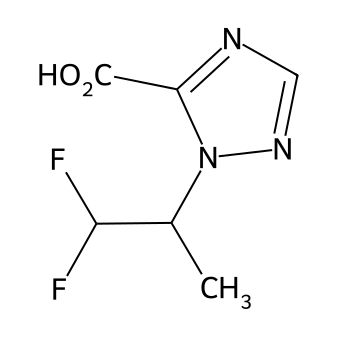 CC(C(F)F)n1ncnc1C(=O)O